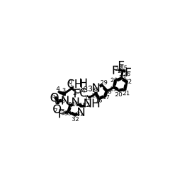 C[C@H](F)c1coc(=O)n1-c1nc(N[C@@H](C)c2ccc(-c3cccc(C(F)(F)F)c3)cn2)ncc1F